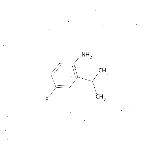 CC(C)c1cc(F)ccc1N